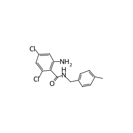 Cc1ccc(CNC(=O)c2c(N)cc(Cl)cc2Cl)cc1